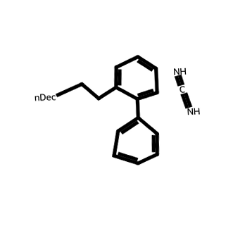 CCCCCCCCCCCCc1ccccc1-c1ccccc1.N=C=N